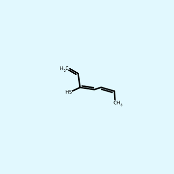 C=C/C(S)=C\C=C/C